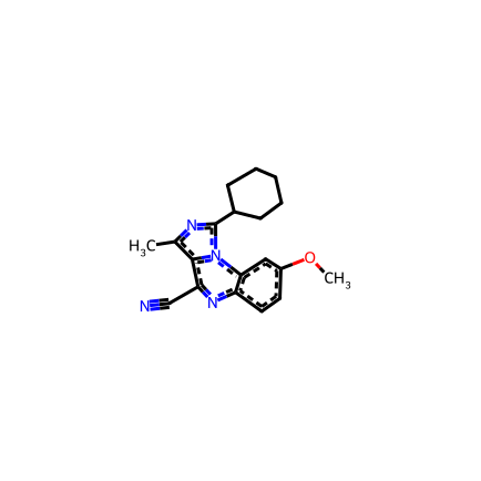 COc1ccc2nc(C#N)c3c(C)nc(C4CCCCC4)n3c2c1